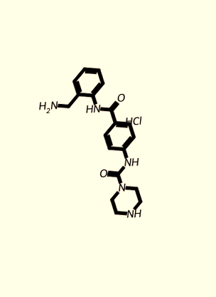 Cl.NCc1ccccc1NC(=O)c1ccc(NC(=O)N2CCNCC2)cc1